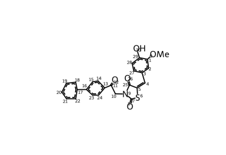 COc1cc(C=C2SC(=O)N(CC(=O)c3ccc(-c4ccccc4)cc3)C2=O)ccc1O